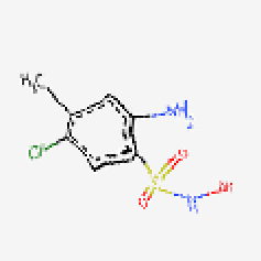 Cc1cc(N)c(S(=O)(=O)NO)cc1Cl